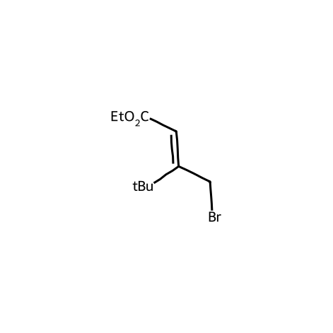 CCOC(=O)/C=C(/CBr)C(C)(C)C